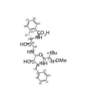 CON=C(C(=O)N[C@@H](Cc1ccccc1)C(O)CNC[C@@H](O)[C@H](Cc1ccccc1)NC(=O)O)C(C)(C)C